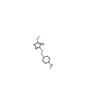 CCc1nnc(CCc2ccc(OC)cc2)[nH]1